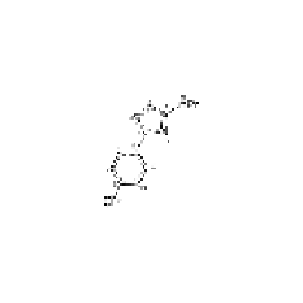 CCCc1csc(-c2ccc(Cl)cc2)n1